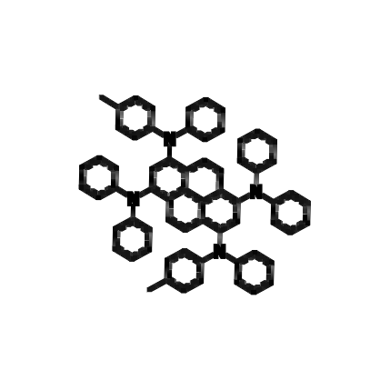 Cc1ccc(N(c2ccccc2)c2cc(N(c3ccccc3)c3ccccc3)c3ccc4c(N(c5ccccc5)c5ccc(C)cc5)cc(N(c5ccccc5)c5ccccc5)c5ccc2c3c54)cc1